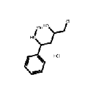 CC(C)(C)NC(CC(O)CCl)c1ccccc1.Cl